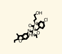 CCc1oc2ccc(/N=C(\NC(C)=O)N(Cc3ccc(Cl)cc3)C(=O)NCCCO)cc2c1C